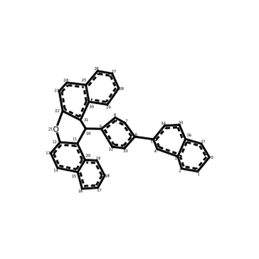 c1ccc2cc(-c3ccc(C4c5c(ccc6ccccc56)Oc5ccc6ccccc6c54)cc3)ccc2c1